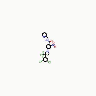 O=C(NCc1ccccn1)c1ccc(N2CCC(c3cc(Cl)cc(Cl)c3)(C(F)(F)F)C2)cc1[N+](=O)[O-]